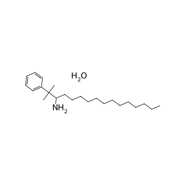 CCCCCCCCCCCCCC(N)C(C)(C)c1ccccc1.O